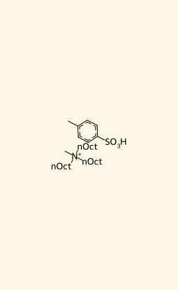 CCCCCCCC[N+](C)(CCCCCCCC)CCCCCCCC.Cc1ccc(S(=O)(=O)O)cc1